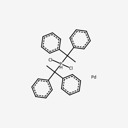 CC(c1ccccc1)(c1ccccc1)[PH](Cl)(Cl)C(C)(c1ccccc1)c1ccccc1.[Pd]